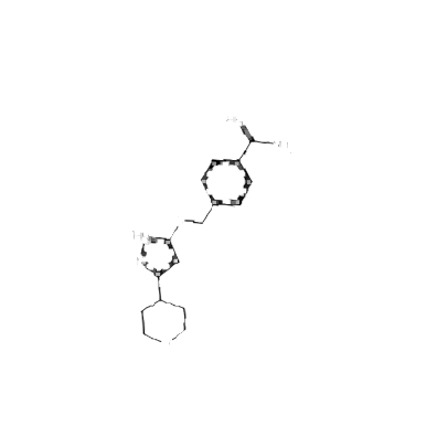 N=C(N)c1ccc(CSc2cc(C3CCOCC3)n[nH]2)cc1